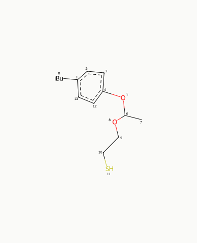 CCC(C)c1ccc(OC(C)OCCS)cc1